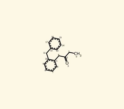 CCC(=O)Cc1ccccc1Cc1ccccc1